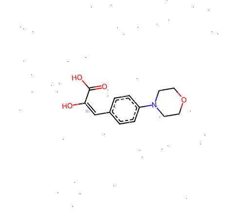 O=C(O)/C(O)=C\c1ccc(N2CCOCC2)cc1